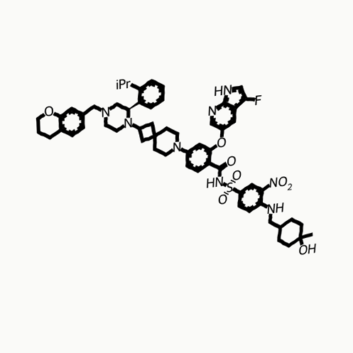 CC(C)c1ccccc1[C@@H]1CN(Cc2ccc3c(c2)OCCC3)CCN1C1CC2(CCN(c3ccc(C(=O)NS(=O)(=O)c4ccc(NCC5CCC(C)(O)CC5)c([N+](=O)[O-])c4)c(Oc4cnc5[nH]cc(F)c5c4)c3)CC2)C1